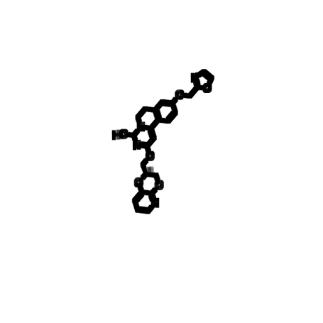 OC1N=C(OC[C@H]2COc3ncccc3O2)C=C2c3ccc(OCc4ncco4)cc3CCN21